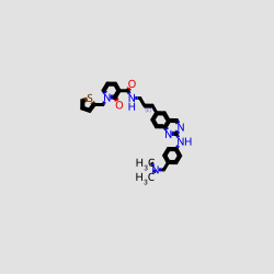 CN(C)Cc1ccc(Nc2ncc3cc(/C=C/CNC(=O)c4cccn(Cc5cccs5)c4=O)ccc3n2)cc1